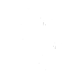 Cc1c(C2=C(c3c(C)n(C)c4ccccc34)CCC2)c2ccccc2n1C